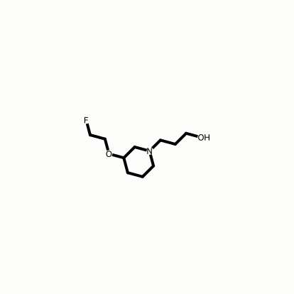 OCCCN1CCCC(OCCF)C1